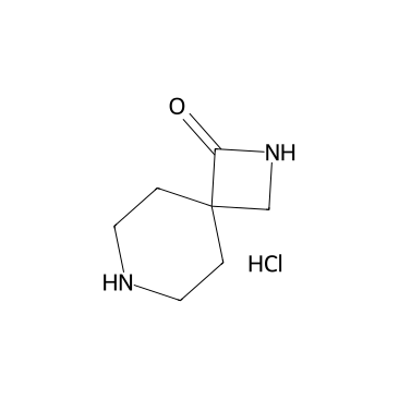 Cl.O=C1NCC12CCNCC2